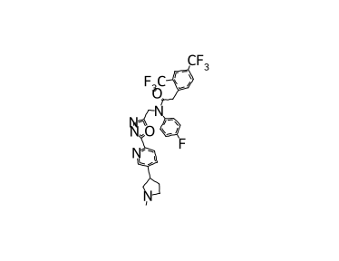 CN1CCC(c2ccc(-c3nnc(CN(C(=O)Cc4ccc(C(F)(F)F)cc4C(F)(F)F)c4ccc(F)cc4)o3)nc2)C1